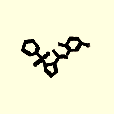 CC(=Nc1cc(Cl)ccc1I)c1cccn1S(=O)(=O)c1ccccc1